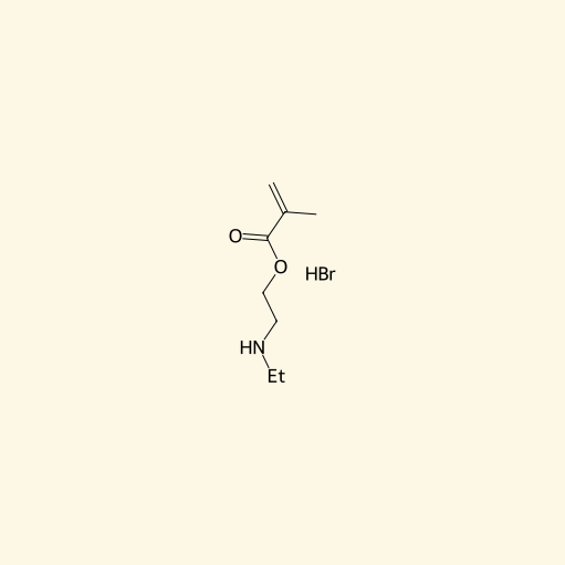 Br.C=C(C)C(=O)OCCNCC